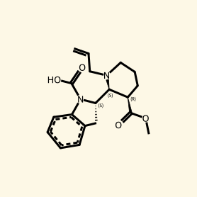 C=CCN1CCC[C@@H](C(=O)OC)[C@H]1[C@@H]1Cc2ccccc2N1C(=O)O